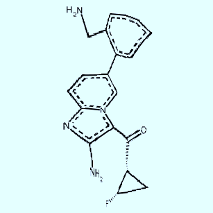 NCc1ccccc1-c1ccc2nc(N)c(C(=O)[C@@H]3C[C@@H]3F)n2c1